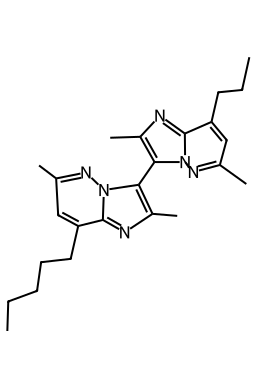 CCCCCc1cc(C)nn2c(-c3c(C)nc4c(CCC)cc(C)nn34)c(C)nc12